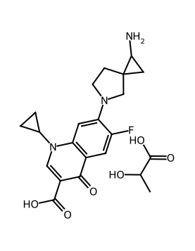 CC(O)C(=O)O.NC1CC12CCN(c1cc3c(cc1F)c(=O)c(C(=O)O)cn3C1CC1)C2